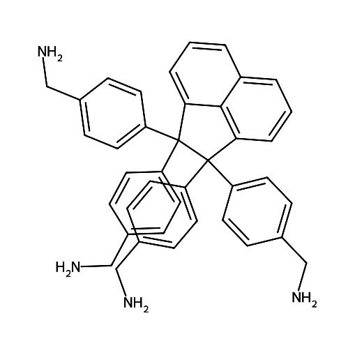 NCc1ccc(C2(c3ccc(CN)cc3)c3cccc4cccc(c34)C2(c2ccc(CN)cc2)c2ccc(CN)cc2)cc1